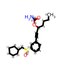 CCCCC(C#Cc1cccc([S+]([O-])CC2CCCCC2)c1)OC(N)=O